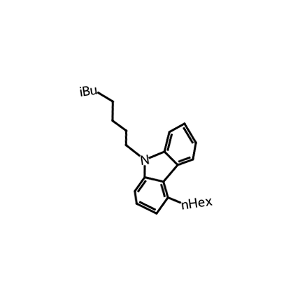 CCCCCCc1cccc2c1c1ccccc1n2CCCCC(C)CC